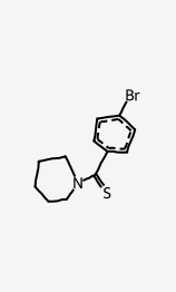 S=C(c1ccc(Br)cc1)N1CCCCC1